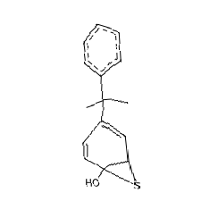 CC(C)(C1=CC2SC2(O)C=C1)c1ccccc1